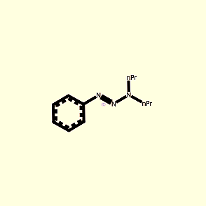 CCCN(CCC)/N=N/c1ccccc1